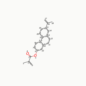 C=C(C)C(=O)Oc1ccc2c(ccc3cc(C(=C)C)ccc32)c1